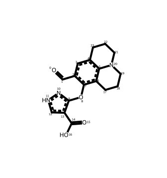 O=Cc1cc2c3c(c1Oc1n[nH]cc1C(=O)O)CCCN3CCC2